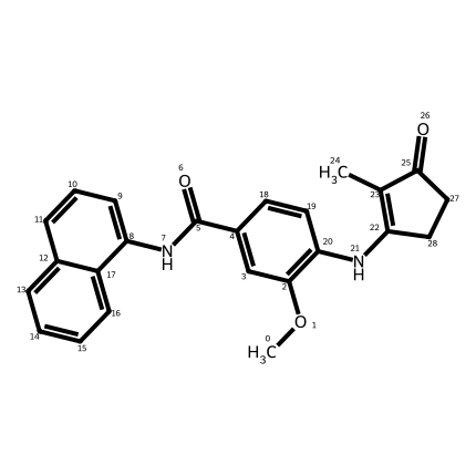 COc1cc(C(=O)Nc2cccc3ccccc23)ccc1NC1=C(C)C(=O)CC1